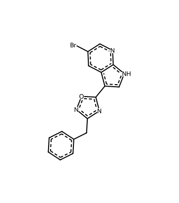 Brc1cnc2[nH]cc(-c3nc(Cc4ccccc4)no3)c2c1